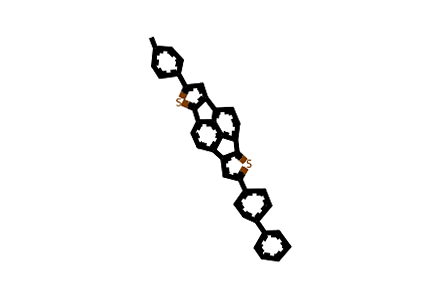 Cc1ccc(-c2cc3c(s2)-c2ccc4c5c(ccc-3c25)-c2sc(-c3ccc(-c5ccccc5)cc3)cc2-4)cc1